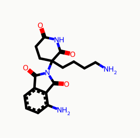 NCCCCC1(N2C(=O)c3cccc(N)c3C2=O)CCC(=O)NC1=O